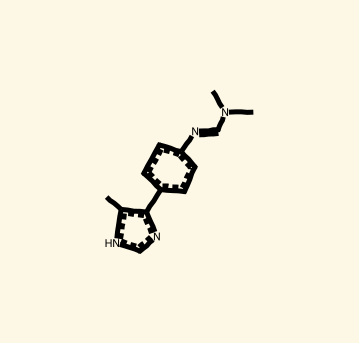 Cc1[nH]cnc1-c1ccc(N=CN(C)C)cc1